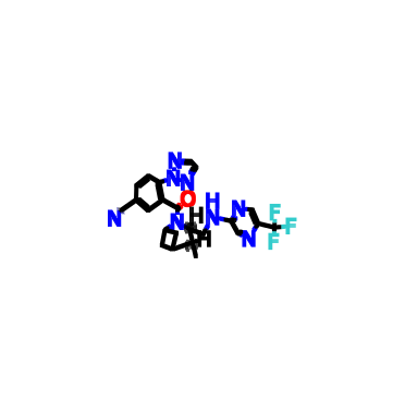 C[C@@H]1C2CC(C2)N(C(=O)c2cc(C#N)ccc2-n2nccn2)[C@@H]1CNc1cnc(C(F)(F)F)cn1